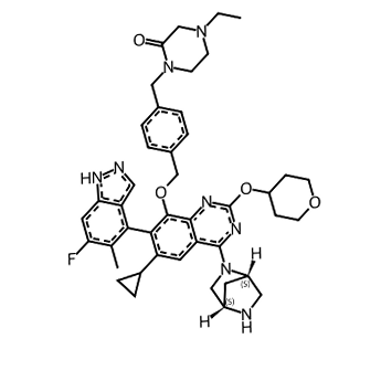 CCN1CCN(Cc2ccc(COc3c(-c4c(C)c(F)cc5[nH]ncc45)c(C4CC4)cc4c(N5C[C@@H]6C[C@H]5CN6)nc(OC5CCOCC5)nc34)cc2)C(=O)C1